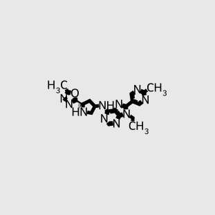 CCn1c(-c2cnc(C)nc2)nc2c(NC3CN[C@@H](c4nnc(C)o4)C3)ncnc21